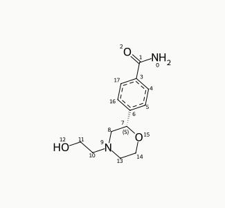 NC(=O)c1ccc([C@H]2CN(CCO)CCO2)cc1